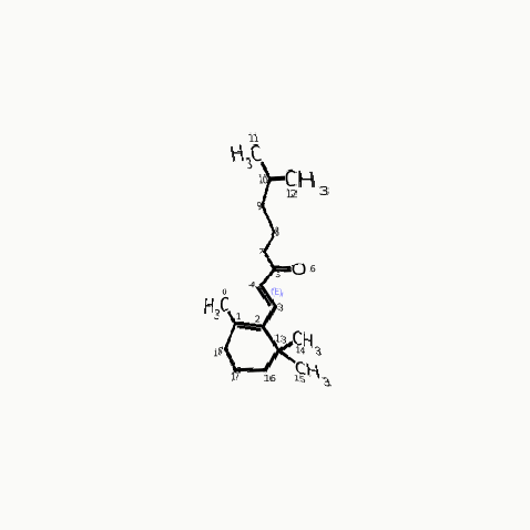 CC1=C(/C=C/C(=O)CCCC(C)C)C(C)(C)CCC1